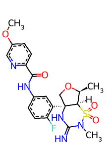 COc1ccc(C(=O)Nc2ccc(F)c([C@]34CO[C@@H](C)[C@H]3S(=O)(=O)N(C)C(=N)N4)c2)nc1